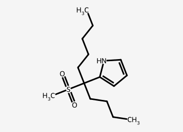 CCCCCC(CCCC)(c1ccc[nH]1)S(C)(=O)=O